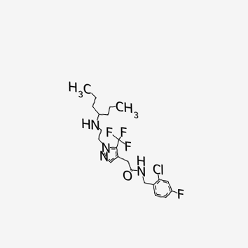 CCCC(CCC)NCCn1ncc(CC(=O)NCc2ccc(F)cc2Cl)c1C(F)(F)F